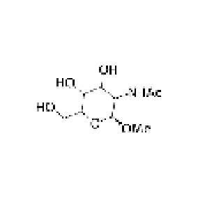 CO[C@H]1OC(CO)[C@H](O)C(O)C1NC(C)=O